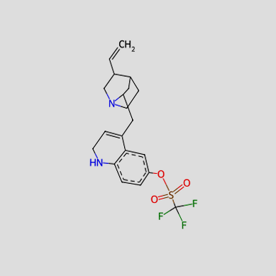 C=CC1CN2CCC1CC2CC1=CCNc2ccc(OS(=O)(=O)C(F)(F)F)cc21